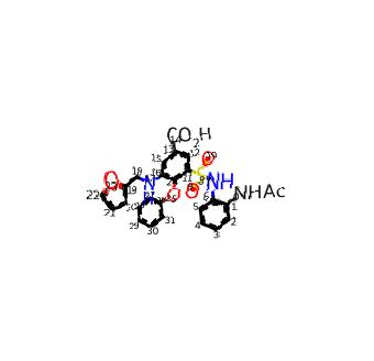 CC(=O)Nc1ccccc1NS(=O)(=O)c1cc(C(=O)O)cc(NCc2ccco2)c1Oc1ccccc1